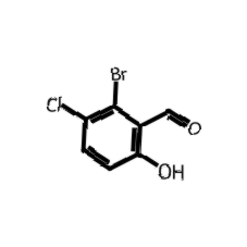 O=Cc1c(O)ccc(Cl)c1Br